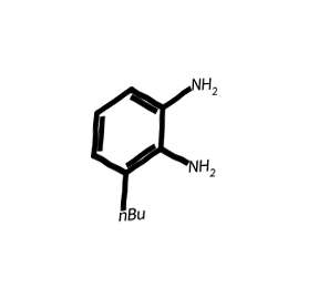 CCCCc1cccc(N)c1N